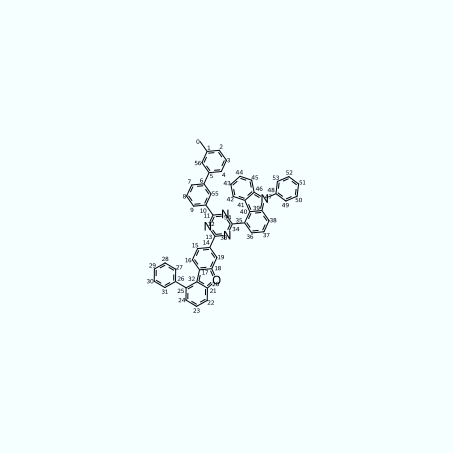 Cc1cccc(-c2cccc(-c3nc(-c4ccc5c(c4)oc4cccc(-c6ccccc6)c45)nc(-c4cccc5c4c4ccccc4n5-c4ccccc4)n3)c2)c1